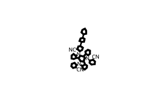 N#Cc1ccccc1-n1c2ccccc2c2c1c1c3ccccc3n(-c3ccc(-c4ccc(-c5ccccc5)cc4)cc3C#N)c1c1c3ccccc3n(-c3ccccc3C#N)c21